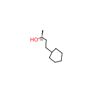 C[C@H](O)CCC1CCCCC1